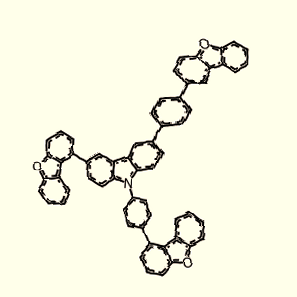 c1ccc2c(c1)oc1ccc(-c3ccc(-c4ccc5c(c4)c4cc(-c6cccc7oc8ccccc8c67)ccc4n5-c4ccc(-c5cccc6oc7ccccc7c56)cc4)cc3)cc12